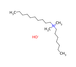 CCCCCCCCCC[N+](C)(C)CCCCCCC.[OH-]